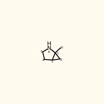 [CH2]C12CC1CCN2